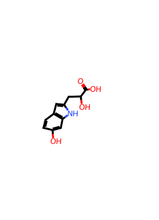 O=C(O)C(O)Cc1cc2ccc(O)cc2[nH]1